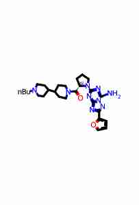 CCCCN1CCC(C2CCN(C(=O)[C@@H]3CCCN3c3nc(N)n4nc(-c5ccco5)nc4n3)CC2)CC1